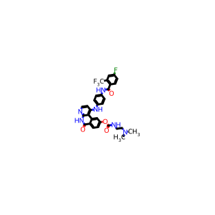 CN(C)CCNC(=O)Oc1ccc2c(=O)[nH]c3nccc(Nc4ccc(NC(=O)c5ccc(F)cc5C(F)(F)F)cc4)c3c2c1